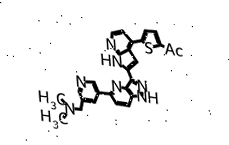 CC(=O)c1ccc(-c2ccnc3[nH]c(-c4n[nH]c5ccc(-c6cncc(CN(C)C)c6)nc45)cc23)s1